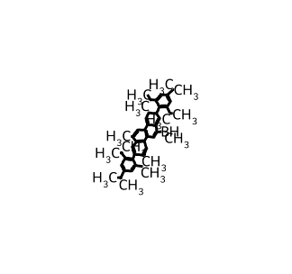 CBc1cc2c(cc(C)c3cc(-c4c(C(C)C)cc(C(C)C)cc4C(C)C)ccc32)c2c1=CC(c1c(C(C)C)cc(C(C)C)cc1C(C)C)CC=2